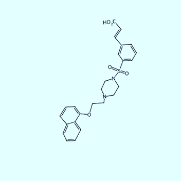 O=C(O)C=Cc1cccc(S(=O)(=O)N2CCN(CCOc3cccc4ccccc34)CC2)c1